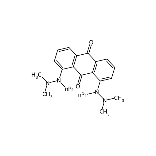 CCCN(c1cccc2c1C(=O)c1c(cccc1N(CCC)N(C)C)C2=O)N(C)C